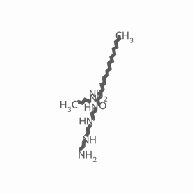 CCCCCCCCCCCCCCCCCCC(C(=O)NCCCNCCCCNCCCN)N(N)CCCCC